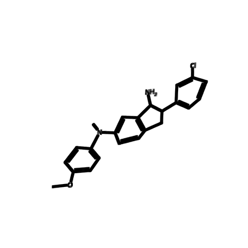 COc1ccc(N(C)c2ccc3c(c2)C(N)C(c2cccc(Cl)c2)C3)cc1